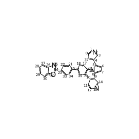 c1cncc(-c2ccc(-c3cccnc3)n2-c2ccc(-c3ccc(-c4nc5ccccc5o4)cc3)cc2)c1